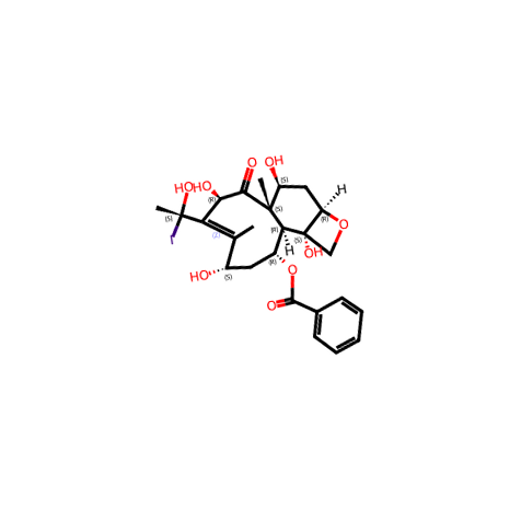 C/C1=C(/[C@@](C)(O)I)[C@@H](O)C(=O)[C@@]2(C)[C@H]([C@H](OC(=O)c3ccccc3)C[C@@H]1O)[C@]1(O)CO[C@@H]1C[C@@H]2O